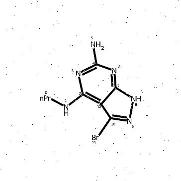 C[CH]CNc1nc(N)nc2[nH]nc(Br)c12